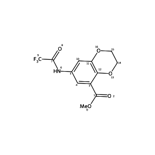 COC(=O)c1cc(NC(=O)C(F)(F)F)cc2c1OCCO2